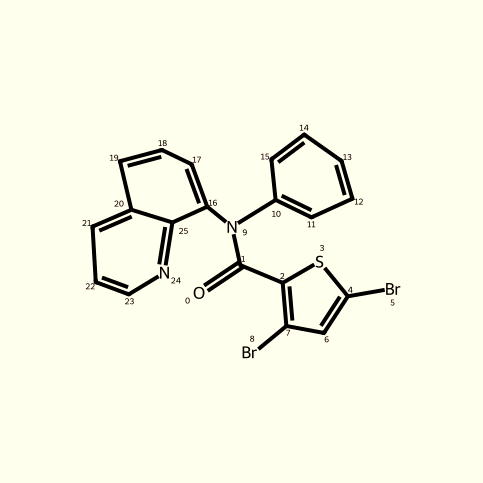 O=C(c1sc(Br)cc1Br)N(c1ccccc1)c1cccc2cccnc12